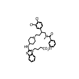 CCOC(=O)CCCn1c(NC2CCN(CCC(CN(C)C(=O)c3ccccc3)c3ccc(Cl)c(Cl)c3)CC2)nc2ccccc21